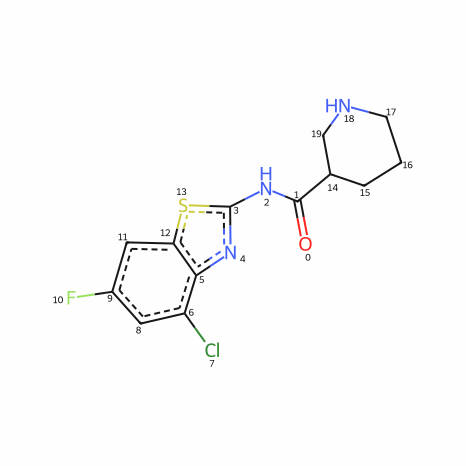 O=C(Nc1nc2c(Cl)cc(F)cc2s1)C1CCCNC1